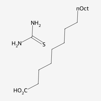 CCCCCCCCCCCCCCCC(=O)O.NC(N)=S